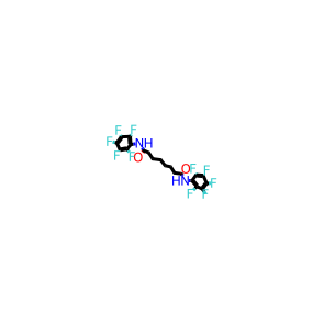 O=C(CCCCCCC(=O)Nc1c(F)c(F)c(F)c(F)c1F)Nc1c(F)c(F)c(F)c(F)c1F